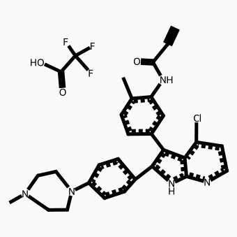 C#CC(=O)Nc1cc(-c2c(-c3ccc(N4CCN(C)CC4)cc3)[nH]c3nccc(Cl)c23)ccc1C.O=C(O)C(F)(F)F